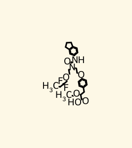 CCOC(Cc1ccc(OCCN(CCOCC(F)(F)CC)C(=O)Nc2ccc3c(c2)CCC3)cc1)C(=O)O